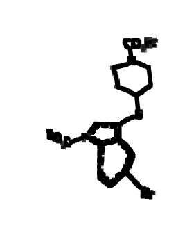 CCOC(=O)N1CCC(Sc2cn(C(=O)OCC)c3ccc(Br)cc23)CC1